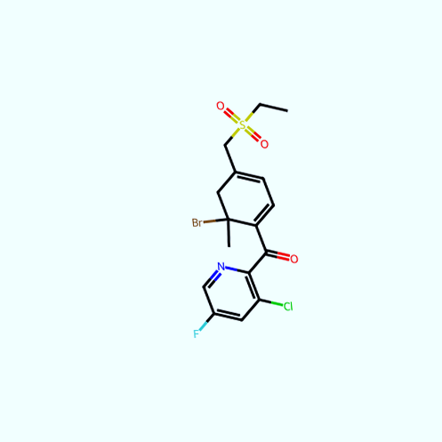 CCS(=O)(=O)CC1=CC=C(C(=O)c2ncc(F)cc2Cl)C(C)(Br)C1